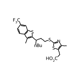 CCCCC(CCSc1nc(C)c(CC(=O)O)s1)c1sc2cc(C(F)(F)F)ccc2c1C